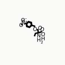 CCC(N)(C(=O)O)C(=O)OCc1ccc([N+](=O)[O-])cc1